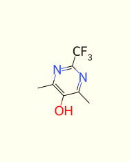 Cc1nc(C(F)(F)F)nc(C)c1O